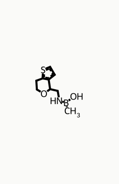 CB(O)NCC1OCCc2sccc21